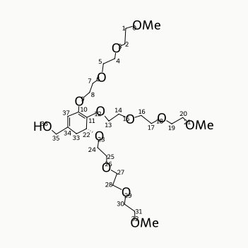 COCCOCCOCCOC1=C(OCCOCCOCCOC)[C@H](OCCOCCOCCOC)CC(CO)=C1